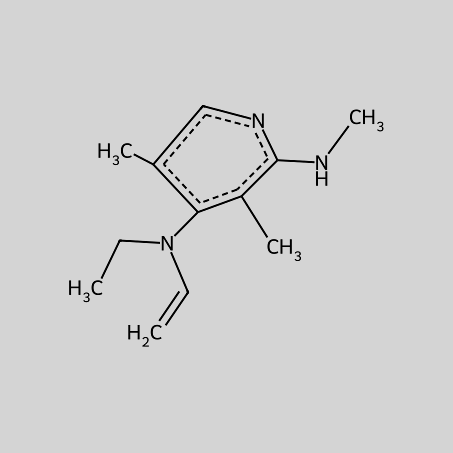 C=CN(CC)c1c(C)cnc(NC)c1C